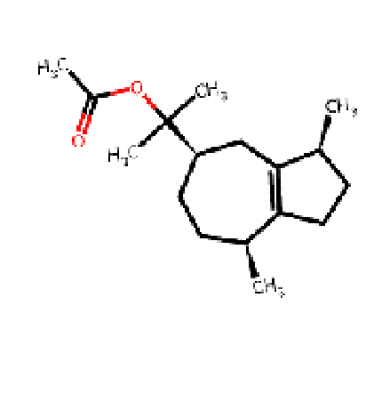 CC(=O)OC(C)(C)[C@@H]1CC[C@H](C)C2=C(C1)[C@@H](C)CC2